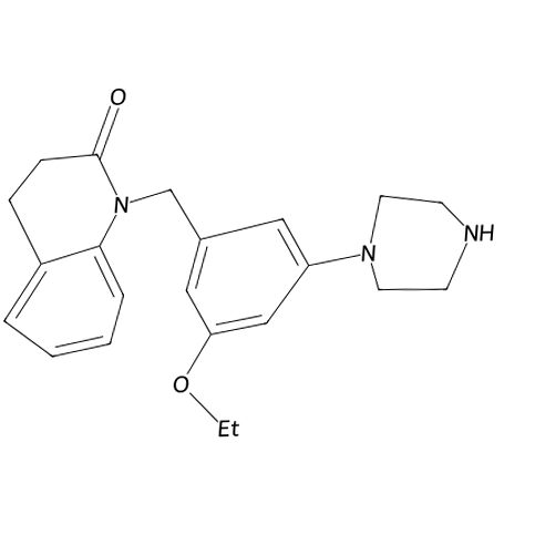 CCOc1cc(CN2C(=O)CCc3ccccc32)cc(N2CCNCC2)c1